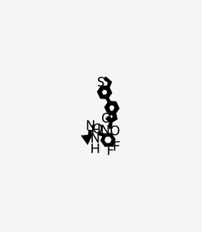 N#CC1(NC(=O)C2(NC(=O)c3cc4ccc(-c5ccc6c(c5)CCS6)cc4o3)CCC(F)(F)CC2)CC1